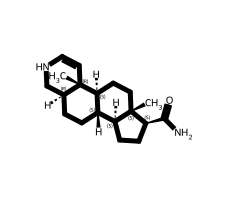 C[C@]12C=CNC[C@@H]1CC[C@@H]1[C@@H]2CC[C@]2(C)[C@@H](C(N)=O)CC[C@@H]12